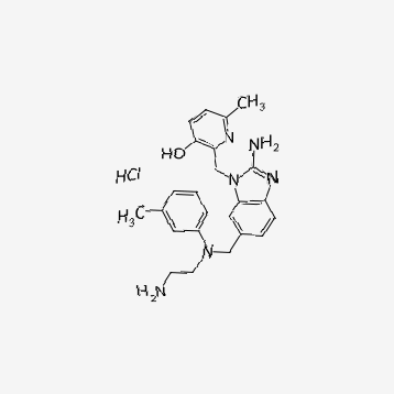 Cc1cccc(N(CCN)Cc2ccc3nc(N)n(Cc4nc(C)ccc4O)c3c2)c1.Cl